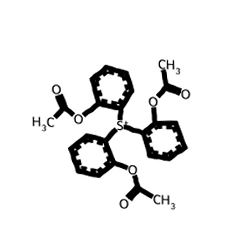 CC(=O)Oc1ccccc1[S+](c1ccccc1OC(C)=O)c1ccccc1OC(C)=O